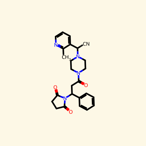 Cc1ncccc1C(C#N)N1CCN(C(=O)CC(c2ccccc2)N2C(=O)CCC2=O)CC1